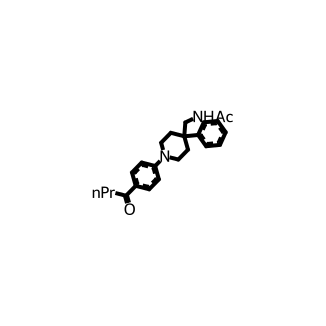 CCCC(=O)c1ccc(N2CCC(CNC(C)=O)(c3ccccc3)CC2)cc1